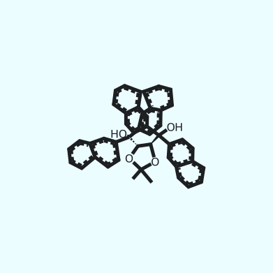 CC1(C)O[C@H](C(O)(c2ccc3ccccc3c2)c2ccc3ccccc3c2)[C@@H](C(O)(c2ccc3ccccc3c2)c2ccc3ccccc3c2)O1